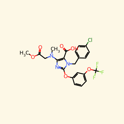 COC(=O)CN(C)c1nc(Oc2cccc(OC(F)(F)F)c2)n(Cc2ccc(Cl)cc2)c1C(=O)O